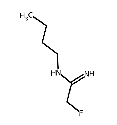 CCCCNC(=N)CF